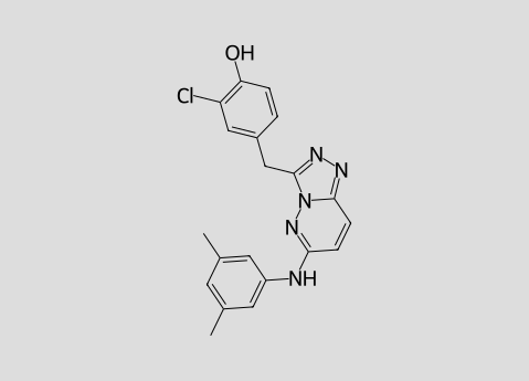 Cc1cc(C)cc(Nc2ccc3nnc(Cc4ccc(O)c(Cl)c4)n3n2)c1